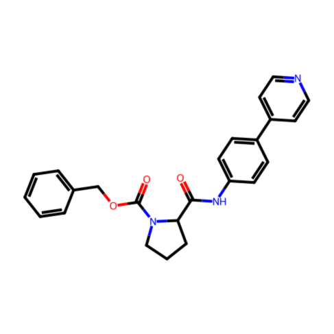 O=C(Nc1ccc(-c2ccncc2)cc1)C1CCCN1C(=O)OCc1ccccc1